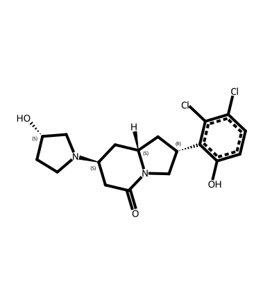 O=C1C[C@@H](N2CC[C@H](O)C2)C[C@@H]2C[C@H](c3c(O)ccc(Cl)c3Cl)CN12